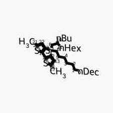 CCCCCCCCCCCCCCCC[Si]1(CC(CCCC)CCCCCC)c2cc(C)sc2-c2sc(C)cc21